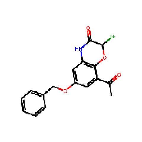 CC(=O)c1cc(OCc2ccccc2)cc2c1OC(Br)C(=O)N2